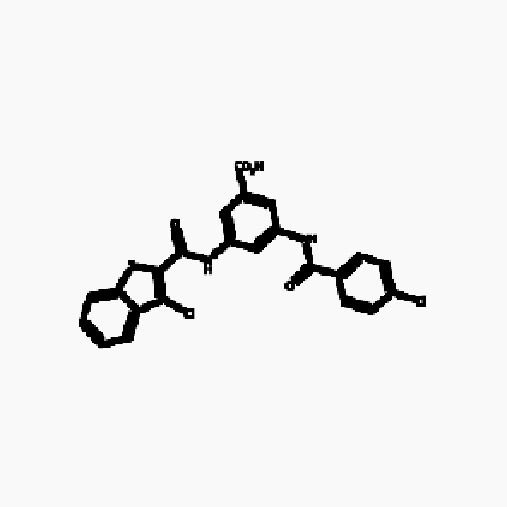 O=C(O)c1cc(NC(=O)c2ccc(Cl)cc2)cc(NC(=O)c2sc3ccccc3c2Cl)c1